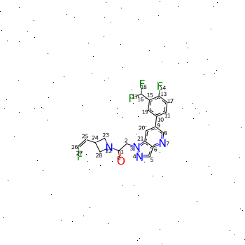 O=C(Cn1ncc2ncc(-c3ccc(F)c(C(F)F)c3)cc21)N1CC(/C=C\F)C1